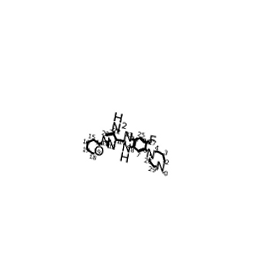 CN1CCCN(c2cc3[nH]c(-c4nn(C5CCCCO5)cc4N)nc3cc2F)CC1